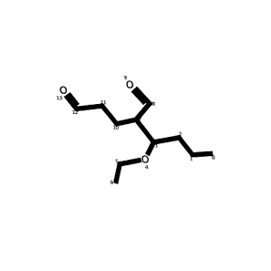 CCCC(OCC)C(C=O)CCC=O